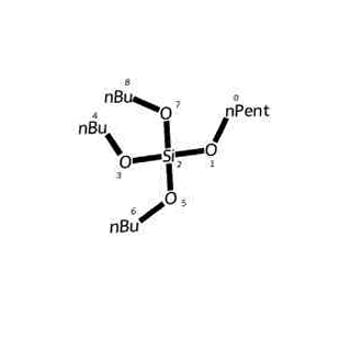 CCCCCO[Si](OCCCC)(OCCCC)OCCCC